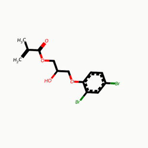 C=C(C)C(=O)OCC(O)COc1ccc(Br)cc1Br